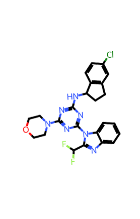 FC(F)c1nc2ccccc2n1-c1nc(NC2CCc3cc(Cl)ccc32)nc(N2CCOCC2)n1